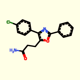 NC(=O)CCc1oc(-c2ccccc2)nc1-c1ccc(Cl)cc1